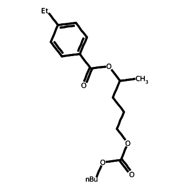 CCCCOC(=O)OCCCC(C)OC(=O)c1ccc(CC)cc1